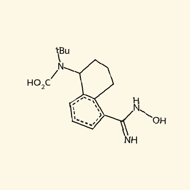 CC(C)(C)N(C(=O)O)C1CCCc2c(C(=N)NO)cccc21